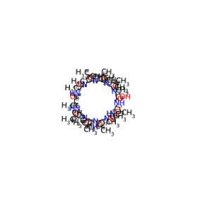 CC(C)C[C@@H]1NC(=O)[C@H](CO)N(C)C(=O)[C@H](CC(C)C)N(C)C(=O)[C@H](CC(C)C)N(C)C(=O)[C@H](CC(C)C)N(C)C(=O)C(C)NC(=O)C[C@H](C)NC(=O)[C@H](CC(C)C)N(C)C(=O)[C@H](CC(C)C)NC(=O)[C@H](CC(C)C)N(C)C(=O)N(C)C1=O